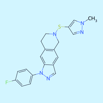 Cn1cc(SN2CCc3cc4c(cnn4-c4ccc(F)cc4)cc3C2)cn1